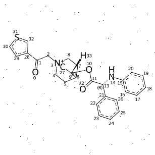 O=C(C[N+]12CCC(CC1)[C@@H](OC(=O)[C@H](Nc1ccccc1)c1ccccc1)C2)c1ccsc1